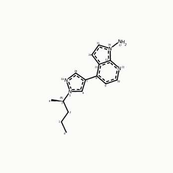 CCC[C@@H](C)n1cc(-c2ccnc3c2ccn3N)cn1